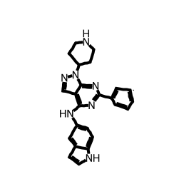 [c]1cccc(-c2nc(Nc3ccc4[nH]ccc4c3)c3cnn(C4CCNCC4)c3n2)c1